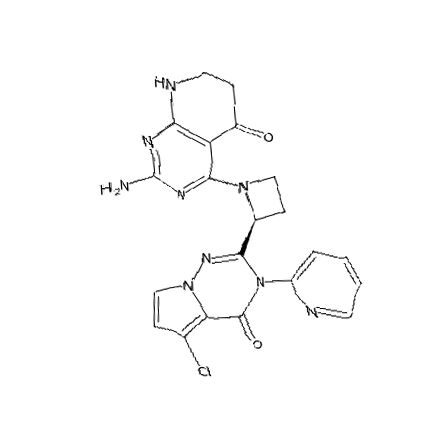 Nc1nc2c(c(N3CC[C@H]3c3nn4ccc(Cl)c4c(=O)n3-c3ccccn3)n1)C(=O)CCN2